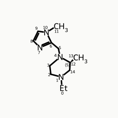 CCN1CCN(Cc2nccn2C)[C@@H](C)C1